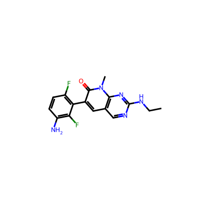 CCNc1ncc2cc(-c3c(F)ccc(N)c3F)c(=O)n(C)c2n1